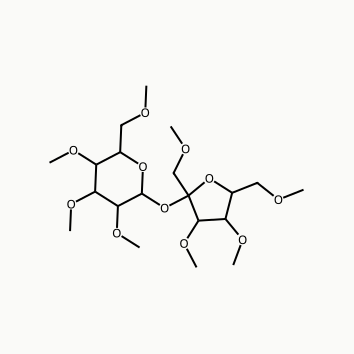 COCC1OC(OC2(COC)OC(COC)C(OC)C2OC)C(OC)C(OC)C1OC